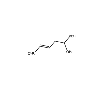 CCCCC(O)CC=CC=O